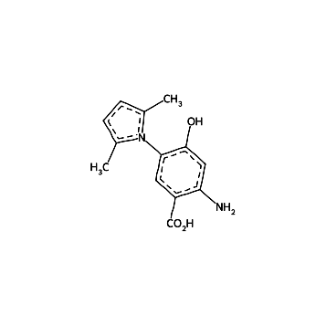 Cc1ccc(C)n1-c1cc(C(=O)O)c(N)cc1O